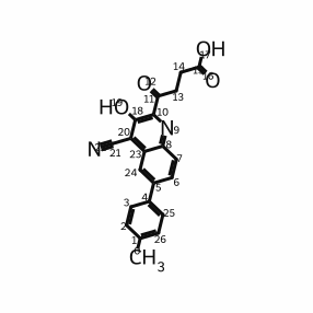 Cc1ccc(-c2ccc3nc(C(=O)CCC(=O)O)c(O)c(C#N)c3c2)cc1